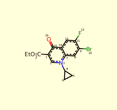 CCOC(=O)c1cn(C2CC2)c2cc(Br)c(F)cc2c1=O